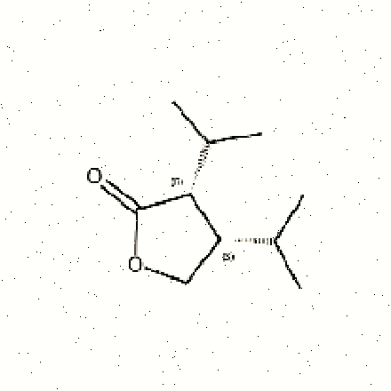 CC(C)[C@H]1C(=O)OC[C@H]1C(C)C